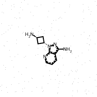 Nc1nn([C@H]2C[C@H](N)C2)c2ncccc12